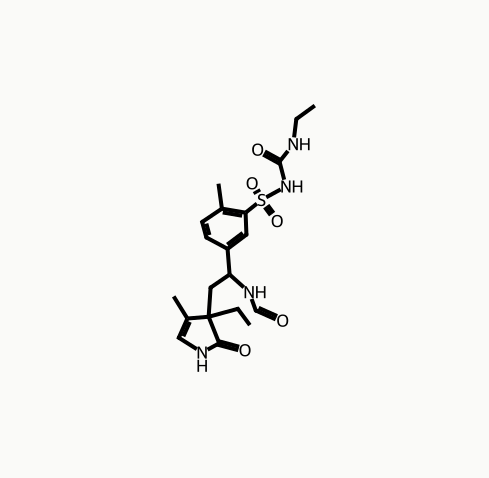 CCNC(=O)NS(=O)(=O)c1cc(C(CC2(CC)C(=O)NC=C2C)NC=O)ccc1C